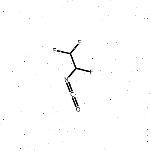 O=C=NC(F)C(F)F